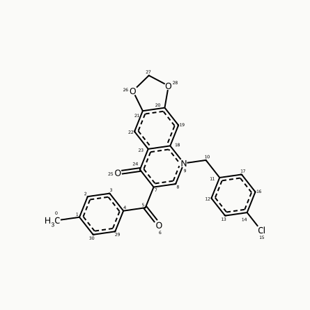 Cc1ccc(C(=O)c2cn(Cc3ccc(Cl)cc3)c3cc4c(cc3c2=O)OCO4)cc1